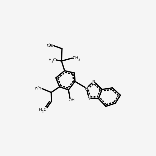 C=CC(CCC)c1cc(C(C)(C)CC(C)(C)C)cc(-n2nc3ccccc3n2)c1O